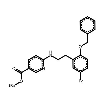 CC(C)(C)OC(=O)c1ccc(NCCc2cc(Br)ccc2OCc2ccccc2)nc1